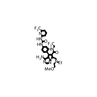 CCN(CCOC)Cc1c(C(=O)NCC(F)(F)F)c(-c2ccc(NC(=O)Nc3cccc(C(F)(F)F)n3)cc2)c2c(N)ncnn12